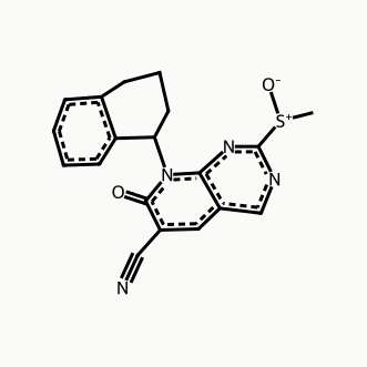 C[S+]([O-])c1ncc2cc(C#N)c(=O)n(C3CCCc4ccccc43)c2n1